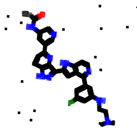 CN(C)CCNc1cc(F)cc(-c2nccc3[nH]c(-c4n[nH]c5ccc(-c6cncc(NC(=O)C(C)(C)C)c6)nc45)cc23)c1